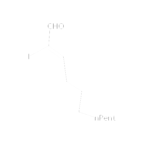 CCCCCCCCC=C(I)C=O